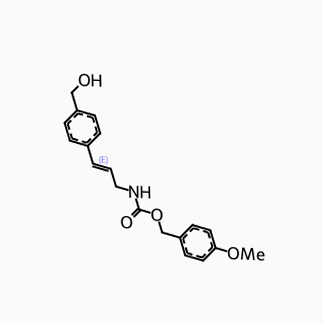 COc1ccc(COC(=O)NC/C=C/c2ccc(CO)cc2)cc1